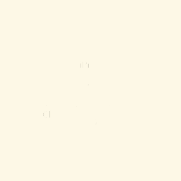 CC(C)[C]1C(C)CC1Cl